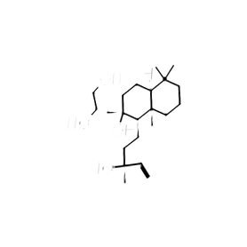 C=C[C@](C)(O)CC[C@@H]1[C@@]2(C)CCCC(C)(C)[C@@H]2CC[C@@]1(C)O.OCCO